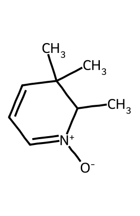 CC1[N+]([O-])=CC=CC1(C)C